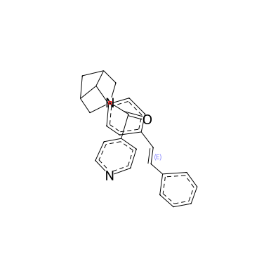 O=C(c1ccncc1)N1CC2CC(C1)C2c1ccc(/C=C/c2ccccc2)cc1